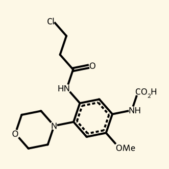 COc1cc(N2CCOCC2)c(NC(=O)CCCl)cc1NC(=O)O